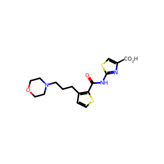 O=C(O)c1csc(NC(=O)c2sccc2CCCN2CCOCC2)n1